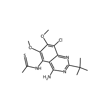 COc1c(OC)c(NC(C)=S)c2c(N)nc(C(C)(C)C)nc2c1Cl